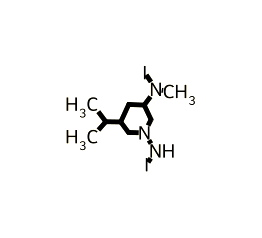 CC(C)C1CC(N(C)I)CN(NI)C1